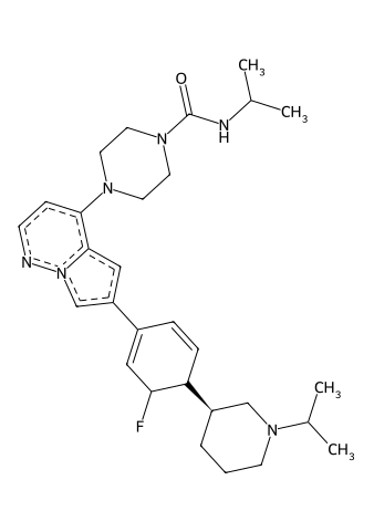 CC(C)NC(=O)N1CCN(c2ccnn3cc(C4=CC(F)C([C@@H]5CCCN(C(C)C)C5)C=C4)cc23)CC1